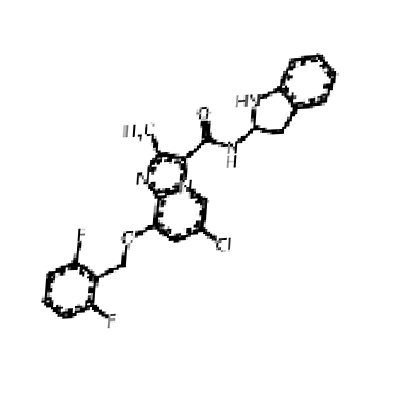 Cc1nc2c(OCc3c(F)cccc3F)cc(Cl)cn2c1C(=O)NC1Cc2ccccc2N1